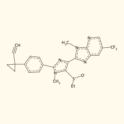 C#CC1(c2ccc(-c3nc(-c4nc5cc(C(F)(F)F)cnc5n4C)c([S+]([O-])CC)n3C)cc2)CC1